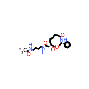 O=C(C[C@@H]1C/C=C/CCC(=O)N[C@H](c2ccccc2)COC1=O)NCCCCNC(=O)C(F)(F)F